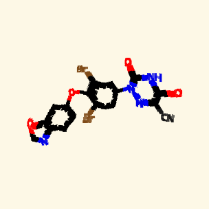 N#Cc1nn(-c2cc(Br)c(Oc3ccc4ncoc4c3)c(Br)c2)c(=O)[nH]c1=O